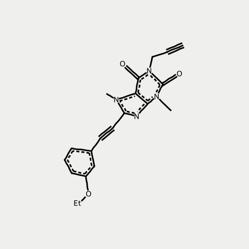 C#CCn1c(=O)c2c(nc(C#Cc3cccc(OCC)c3)n2C)n(C)c1=O